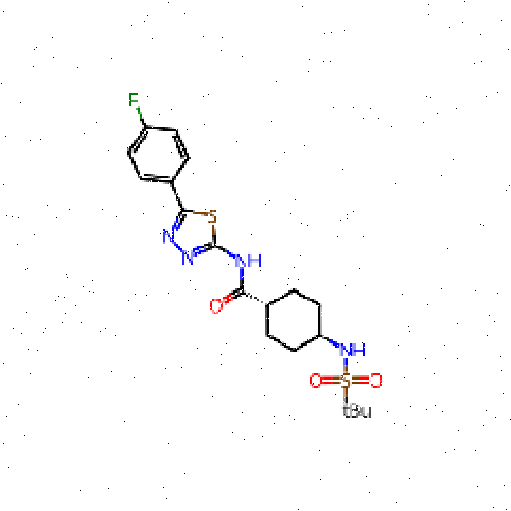 CC(C)(C)S(=O)(=O)N[C@H]1CC[C@H](C(=O)Nc2nnc(-c3ccc(F)cc3)s2)CC1